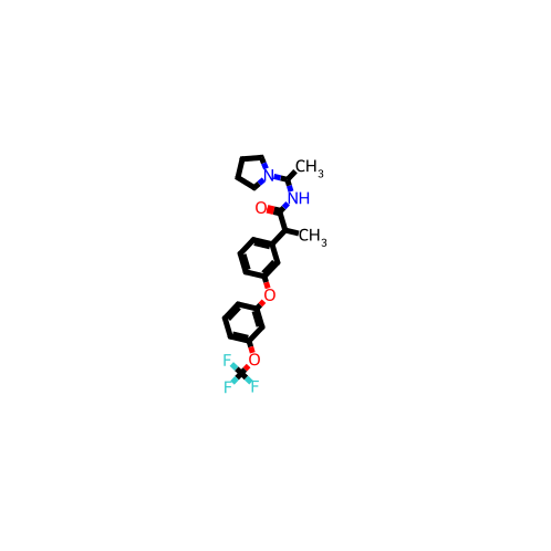 CC(C(=O)NC(C)N1CCCC1)c1cccc(Oc2cccc(OC(F)(F)F)c2)c1